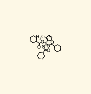 CC1=[C]([Ti]([O]C(=O)C2CCCCC2)([O]C(=O)C2CCCCC2)[O]C(=O)C2CCCCC2)CC=C1